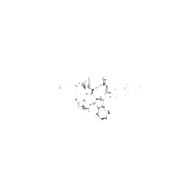 CCO[C@@H]1COc2c(-c3c(-c4cn(C)nc4C#N)c4cccnc4n3COCC[Si](C)(C)C)c(C(F)F)nn2C1